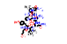 CC[C@H](C)[C@H](NC(=O)[C@H](Cc1ccc(O)cc1)NC(=O)CCCO)C(=O)N[C@@H](CCC(N)=O)C(=O)N[C@@H](CC(N)=O)C(=O)N[C@@H](CNC)C(=O)N1CCC[C@H]1C(=O)N[C@@H](CC(C)C)C(=O)NCC(N)=O